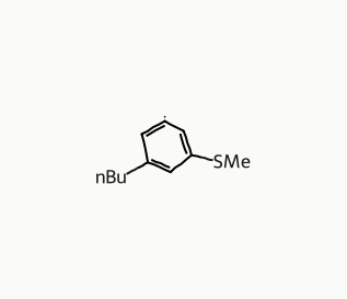 CCCCc1c[c]cc(SC)c1